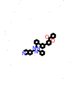 O=c1c2ccccc2oc2ccc(-c3cccc(-c4ccccc4-c4nc(-c5ccccc5)nc(-c5ccc6cnccc6c5)n4)c3)cc12